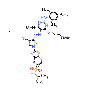 CNc1nc(Nc2c(C)cc(C)cc2C)nc(NCCCOC)c1N=Nc1nn(-c2nc3cc(S(=O)(=O)NC(C)C(=O)O)ccc3s2)cc1C#N